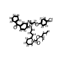 CCCC(F)OC(=O)N1CCCCC1CCCn1c(COc2ccc(Cl)cc2)nc2cc(C(=O)c3ccccc3)ccc21